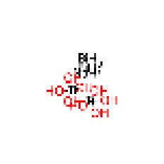 [BiH3].[BiH3].[NaH].[OH][Ti]([OH])([OH])[OH].[OH][Ti]([OH])([OH])[OH]